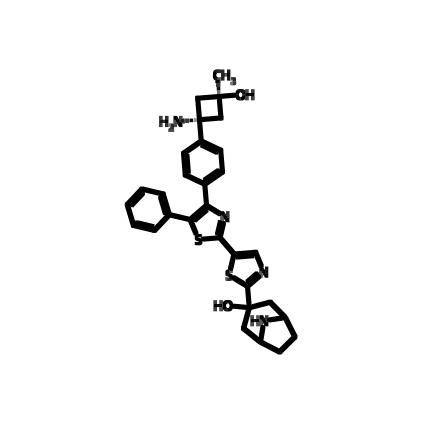 C[C@]1(O)C[C@@](N)(c2ccc(-c3nc(-c4cnc(C5(O)CC6CCC(C5)N6)s4)sc3-c3ccccc3)cc2)C1